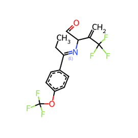 C=C(C(C=O)/N=C(\CC)c1ccc(OC(F)(F)F)cc1)C(F)(F)F